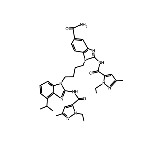 CCn1nc(C)cc1C(=O)Nc1nc2cc(C(N)=O)ccc2n1CCCCn1c(NC(=O)c2cc(C)nn2CC)nc2c(C(C)C)cccc21